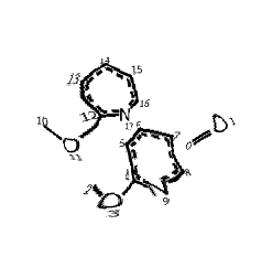 C=O.COc1ccccn1.COc1ccccn1